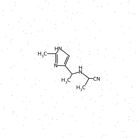 Cc1nc(C(C)NC(C)C#N)c[nH]1